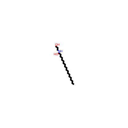 CCCCCCCCCCCCCCCCCCCC(O)NCCCO